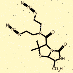 CC1(C)SC2C(C(=O)O)NC(=O)N2C1C(=O)N(CCN=[N+]=[N-])CCN=[N+]=[N-]